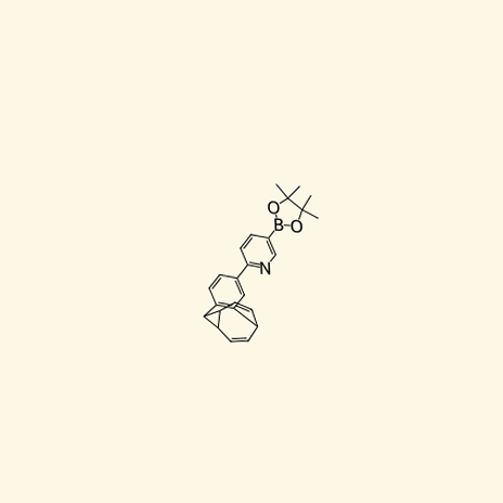 CC1(C)OB(c2ccc(-c3ccc4c(c3)C3C=CC5C(C=C3)C45)nc2)OC1(C)C